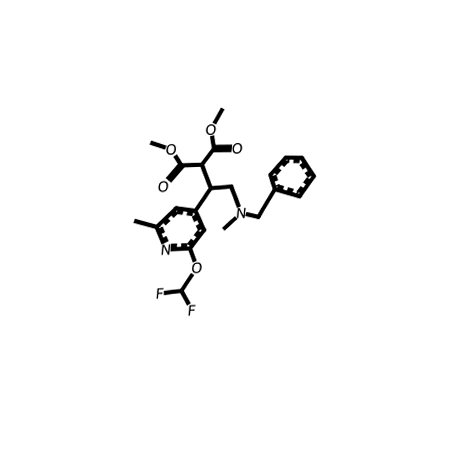 COC(=O)C(C(=O)OC)C(CN(C)Cc1ccccc1)c1cc(C)nc(OC(F)F)c1